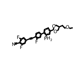 CCOCCC1COC(c2ccc(-c3ccc(C#Cc4cc(F)c(C#N)c(F)c4)c(F)c3)c(P)c2)OC1